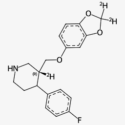 [2H]C1([2H])Oc2ccc(OC[C@@]3([2H])CNCCC3c3ccc(F)cc3)cc2O1